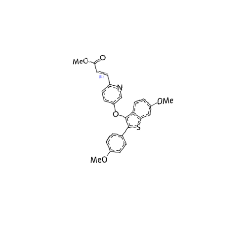 COC(=O)/C=C/c1ccc(Oc2c(-c3ccc(OC)cc3)sc3cc(OC)ccc23)cn1